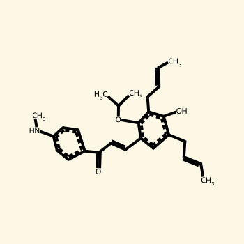 CC=CCc1cc(C=CC(=O)c2ccc(NC)cc2)c(OC(C)C)c(CC=CC)c1O